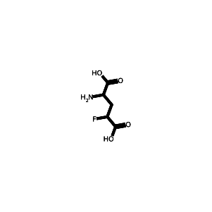 NC(CC(F)C(=O)O)C(=O)O